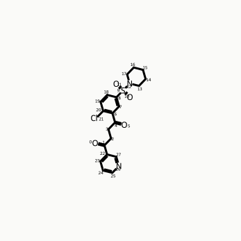 O=C(CCC(=O)c1cc(S(=O)(=O)N2CCCCC2)ccc1Cl)c1cccnc1